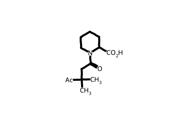 CC(=O)C(C)(C)CC(=O)N1CCCCC1C(=O)O